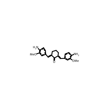 COc1cc(C=C2CCCC(=Cc3ccc(N)c(OC)c3)C2=O)ccc1N